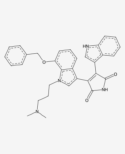 CN(C)CCCn1cc(C2=C(c3c[nH]c4ccccc34)C(=O)NC2=O)c2cccc(OCc3ccccc3)c21